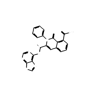 CNC(=O)c1cccc2cc([C@H](C)Nc3ncnc4scnc34)n(-c3ccccc3)c(=O)c12